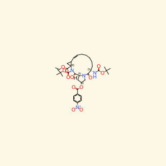 CCOC(=O)[C@@]12CC1C=CCCCCC[C@H](NC(=O)OC(C)(C)C)C(=O)N1C[C@H](OC(=O)c3ccc([N+](=O)[O-])cc3)C[C@H]1C(=O)N2C(=O)OC(C)(C)C